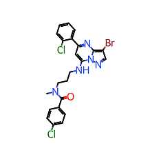 CN(CCCNc1cc(-c2ccccc2Cl)nc2c(Br)cnn12)C(=O)c1ccc(Cl)cc1